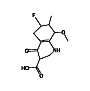 COC1C2=C(CC(F)C1C)C(=O)C(C(=O)O)CN2